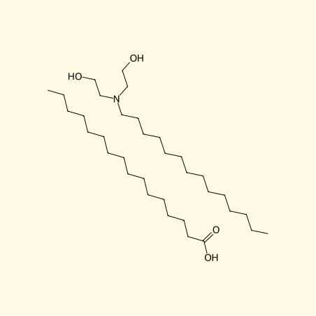 CCCCCCCCCCCCCCCC(=O)O.CCCCCCCCCCCCCCN(CCO)CCO